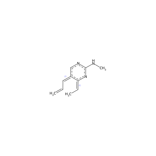 C=C/C=c1/cnc(NC)n/c1=C/C